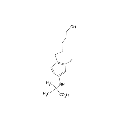 CC(C)(Nc1ccc(CCCCCO)c(F)c1)C(=O)O